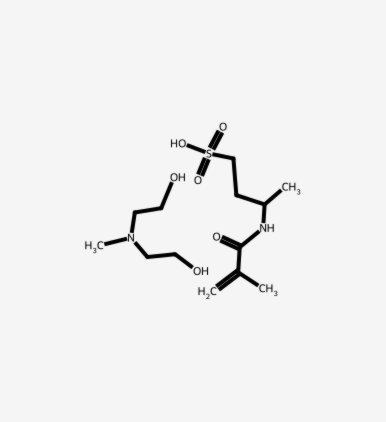 C=C(C)C(=O)NC(C)CCS(=O)(=O)O.CN(CCO)CCO